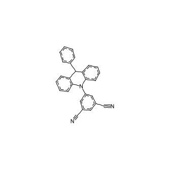 N#Cc1cc(C#N)cc(N2c3ccccc3C(c3ccccc3)c3ccccc32)c1